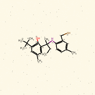 CCC(C)(Pc1ccc(C)cc1CS)c1cc(C)cc(C(C)(C)C)c1O